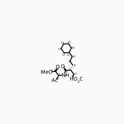 COC(=O)C(NC(=O)[C@H](CCCC1CCCCC1)CC(=O)O)C(C)=O